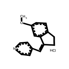 COc1ccc2c(c1)/C(=C\c1ccncc1)CC2.Cl